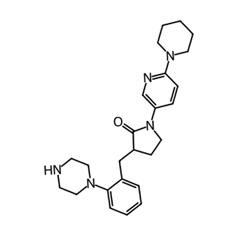 O=C1C(Cc2ccccc2N2CCNCC2)CCN1c1ccc(N2CCCCC2)nc1